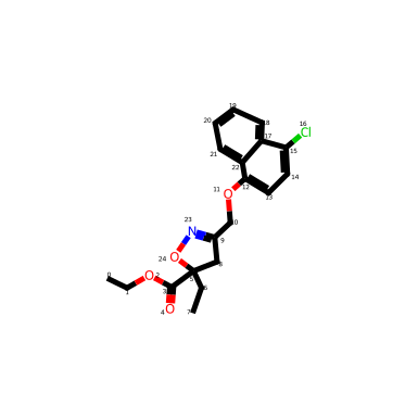 CCOC(=O)C1(CC)CC(COc2ccc(Cl)c3ccccc23)=NO1